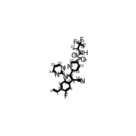 C=Cc1cc2c(cc1F)c(C#N)c(-c1ccc(S(=O)(=O)N[C@@H](C)C(F)(F)F)cn1)n2-c1ncccn1